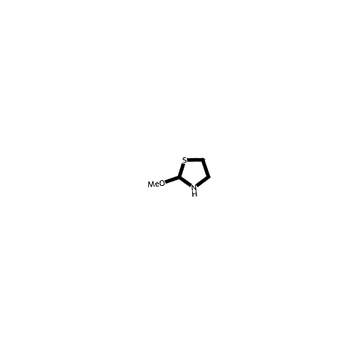 COC1NC[CH]S1